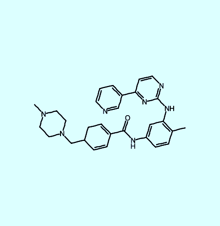 Cc1ccc(NC(=O)C2=CCC(CN3CCN(C)CC3)C=C2)cc1Nc1nccc(-c2cccnc2)n1